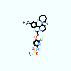 Cc1ccc(C2c3c(nc4n3CCCCC4)CCN2C(=O)COc2ccc(NS(C)(=O)=O)nc2Cl)c(F)c1